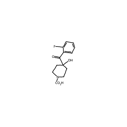 O=C(O)N1CCC(O)(C(=O)c2ccccc2F)CC1